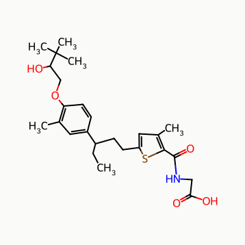 CCC(CCc1cc(C)c(C(=O)NCC(=O)O)s1)c1ccc(OCC(O)C(C)(C)C)c(C)c1